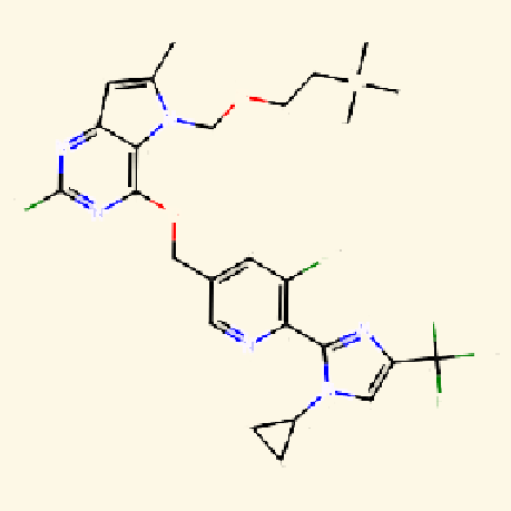 Cc1cc2nc(Cl)nc(OCc3cnc(-c4nc(C(F)(F)F)cn4C4CC4)c(F)c3)c2n1COCC[Si](C)(C)C